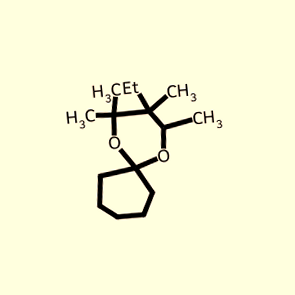 CCC1(C)C(C)OC2(CCCCC2)OC1(C)C